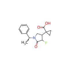 C[C@@H](c1ccccc1)N1CC(C2(C(=O)O)CC2)C(F)C1=O